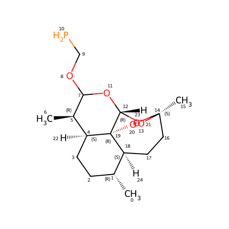 C[C@@H]1CC[C@H]2[C@@H](C)C(OCP)O[C@@H]3O[C@]4(C)CC[C@@H]1[C@]32OO4